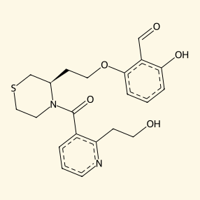 O=Cc1c(O)cccc1OCC[C@@H]1CSCCN1C(=O)c1cccnc1CCO